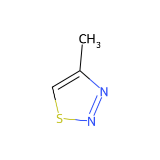 Cc1csnn1